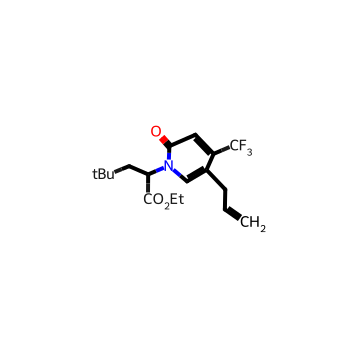 C=CCc1cn(C(CC(C)(C)C)C(=O)OCC)c(=O)cc1C(F)(F)F